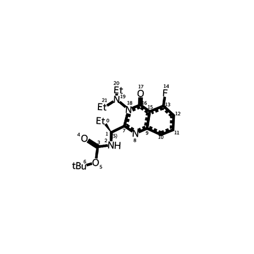 CC[C@H](NC(=O)OC(C)(C)C)c1nc2cccc(F)c2c(=O)n1N(CC)CC